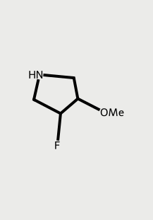 COC1CNCC1F